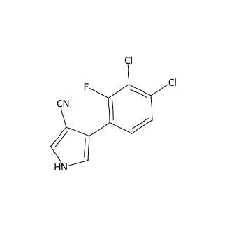 N#Cc1c[nH]cc1-c1ccc(Cl)c(Cl)c1F